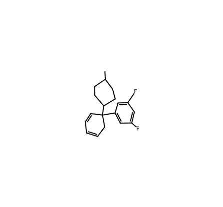 CC1CCC(C2(c3cc(F)cc(F)c3)C=CC=CC2)CC1